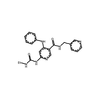 CCNC(=O)Nc1cc(Nc2ccccc2)c(C(=O)NCc2cccnc2)cn1